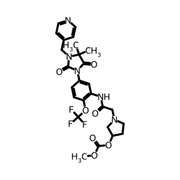 COC(=O)OC1CCN(CC(=O)Nc2cc(N3C(=O)N(Cc4ccncc4)C(C)(C)C3=O)ccc2OC(F)(F)F)C1